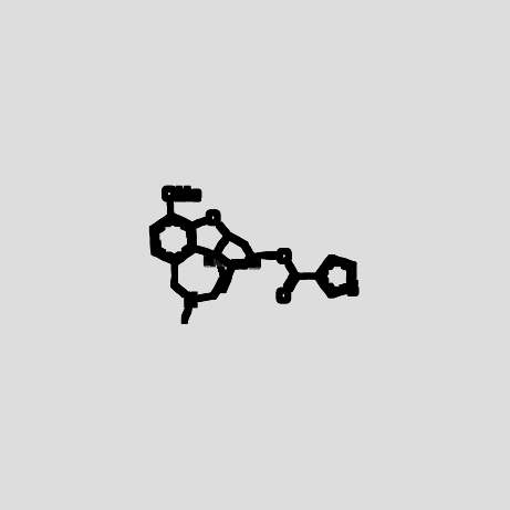 COc1ccc2c3c1OC1C[C@@H](OC(=O)c4ccsc4)C=C(C)[C@@]31CCN(C)C2